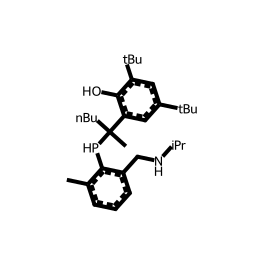 CCCCC(C)(Pc1c(C)cccc1CNC(C)C)c1cc(C(C)(C)C)cc(C(C)(C)C)c1O